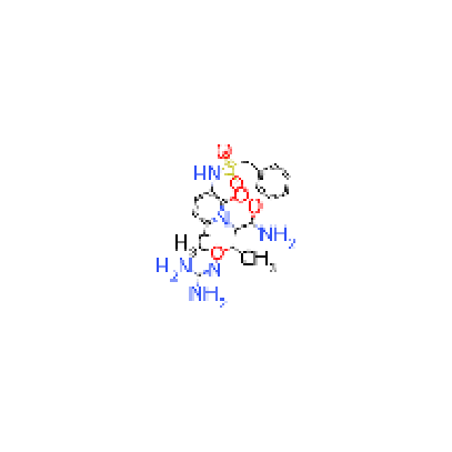 Cc1ccc(NS(=O)(=O)Cc2ccccc2)c(=O)n1C(C(N)=O)C(C)ON=C(N)N